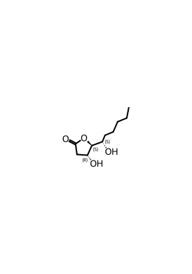 CCCCC[C@H](O)[C@@H]1OC(=O)C[C@H]1O